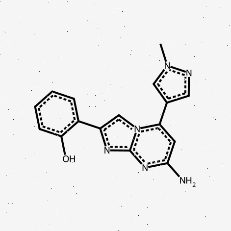 Cn1cc(-c2cc(N)nc3nc(-c4ccccc4O)cn23)cn1